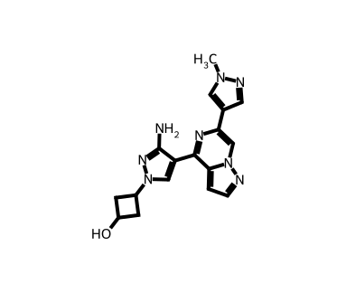 Cn1cc(-c2cn3nccc3c(-c3cn(C4CC(O)C4)nc3N)n2)cn1